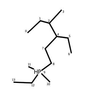 CCC(C)C(CC)CC[PH](C)(C)CC